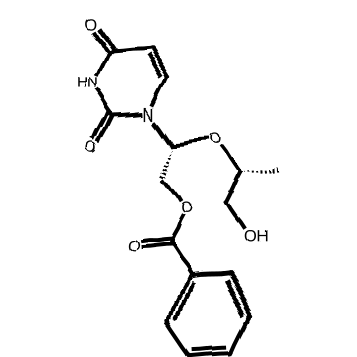 C[C@H](CO)O[C@H](COC(=O)c1ccccc1)n1ccc(=O)[nH]c1=O